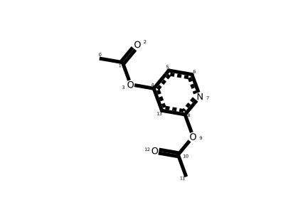 CC(=O)Oc1ccnc(OC(C)=O)c1